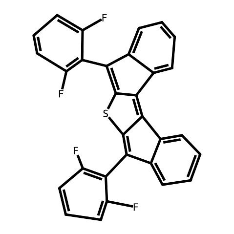 Fc1cccc(F)c1C1=c2sc3c(c2-c2ccccc21)-c1ccccc1C=3c1c(F)cccc1F